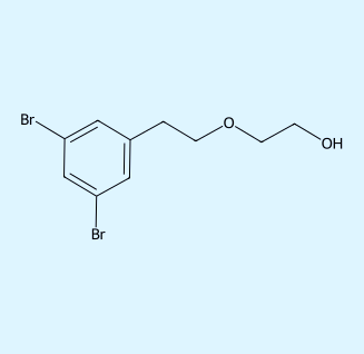 OCCOCCc1cc(Br)cc(Br)c1